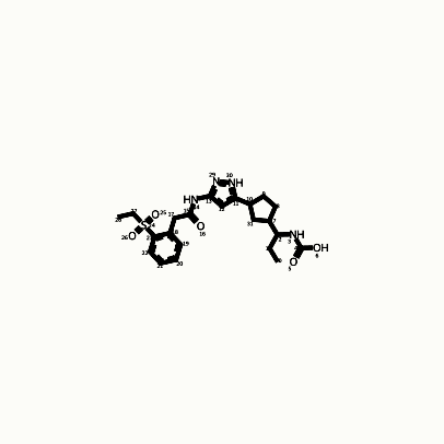 CCC(NC(=O)O)C1CCC(c2cc(NC(=O)Cc3ccccc3S(=O)(=O)CC)n[nH]2)C1